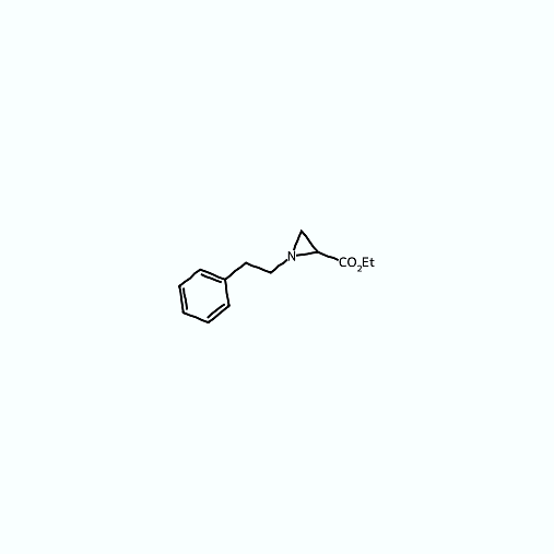 CCOC(=O)C1CN1CCc1ccccc1